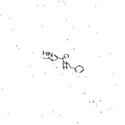 Cc1cc(C(=O)NCCc2ccccc2)c[nH]1